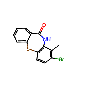 Cc1c(Br)ccc2c1NC(=O)c1ccccc1S2